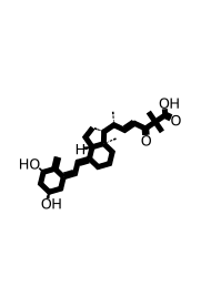 C=C1/C(=C\C=C2/CCC[C@]3(C)[C@@H]([C@H](C)/C=C/C(=O)C(C)(C)C(=O)O)CC[C@@H]23)C[C@@H](O)C[C@@H]1O